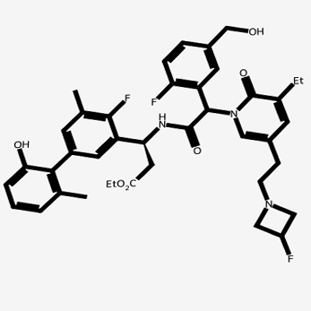 CCOC(=O)C[C@H](NC(=O)C(c1cc(CO)ccc1F)n1cc(CCN2CC(F)C2)cc(CC)c1=O)c1cc(-c2c(C)cccc2O)cc(C)c1F